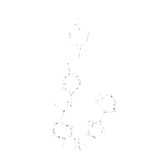 Cc1ccc(C(=O)Nc2ccc(CCN3CCN(C)CC3)cc2)cc1Nc1nc(-c2cccnc2)cs1